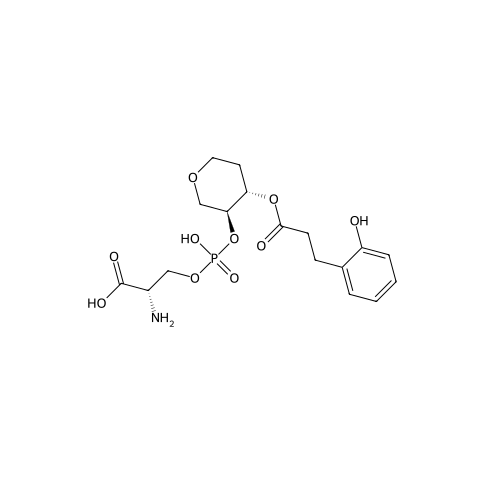 N[C@@H](COP(=O)(O)O[C@H]1COCC[C@@H]1OC(=O)CCc1ccccc1O)C(=O)O